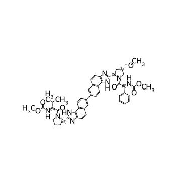 COC[C@H]1C[C@@H](c2nc3ccc4cc(-c5ccc6c(ccc7nc([C@@H]8CCCN8C(=O)[C@@H](NC(=O)OC)C(C)C)[nH]c76)c5)ccc4c3[nH]2)N(C(=O)[C@H](NC(=O)OC)c2ccccc2)C1